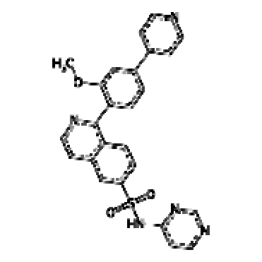 COc1cc(-c2ccncc2)ccc1-c1nccc2cc(S(=O)(=O)Nc3ccncn3)ccc12